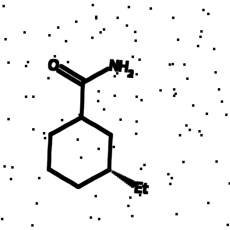 CC[C@@H]1CCCC(C(N)=O)C1